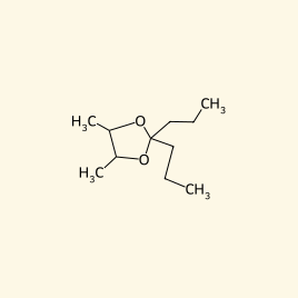 CCCC1(CCC)OC(C)C(C)O1